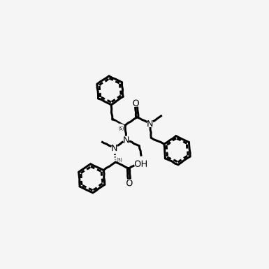 CCN([C@@H](Cc1ccccc1)C(=O)N(C)Cc1ccccc1)N(C)[C@H](C(=O)O)c1ccccc1